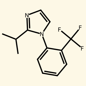 CC(C)c1nccn1-c1ccccc1C(F)(F)F